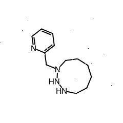 c1ccc(CN2CCCCCCNN2)nc1